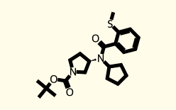 CSc1ccccc1C(=O)N(C1CCCC1)[C@H]1CCN(C(=O)OC(C)(C)C)C1